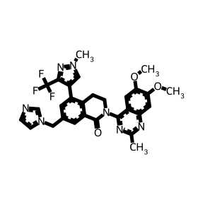 COc1cc2nc(C)nc(N3CCc4c(cc(Cn5ccnc5)cc4-c4cn(C)nc4C(F)(F)F)C3=O)c2cc1OC